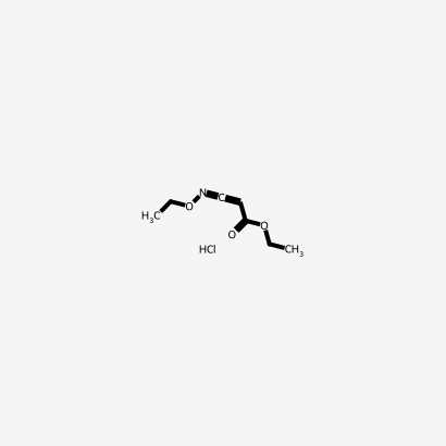 CCON=C=CC(=O)OCC.Cl